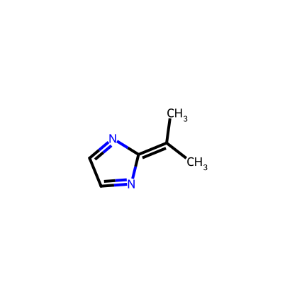 CC(C)=C1N=CC=N1